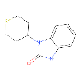 O=C1[N]c2ccccc2N1C1CCSCC1